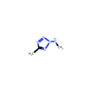 CNn1nnc(C)n1